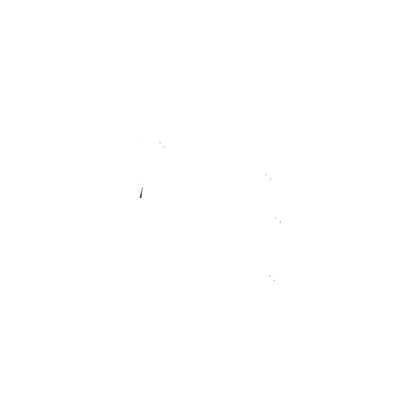 O=C1O[C@H](c2ccccc2)CN1Cc1ccc(CN2CCN(Cc3ccccn3)CC2)cc1